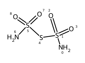 NS(=O)(=O)SS(N)(=O)=O